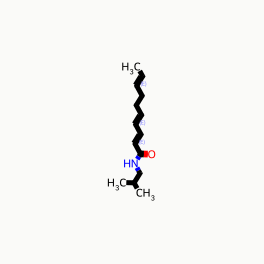 C/C=C/CC/C=C/C=C/C(=O)NCC(C)C